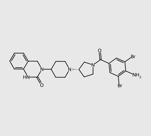 Nc1c(Br)cc(C(=O)N2CC[C@H](N3CCC(N4Cc5ccccc5NC4=O)CC3)C2)cc1Br